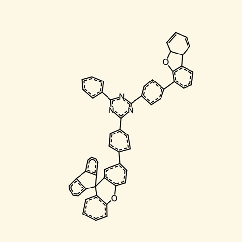 C1=CC2Oc3c(-c4ccc(-c5nc(-c6ccccc6)nc(-c6ccc(-c7ccc8c(c7)C7(c9ccccc9O8)c8ccccc8-c8ccccc87)cc6)n5)cc4)cccc3C2C=C1